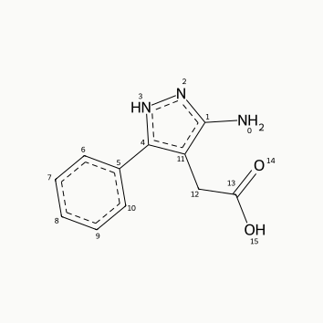 Nc1n[nH]c(-c2ccccc2)c1CC(=O)O